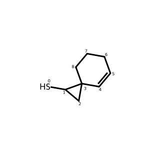 SC1CC12C=CCCC2